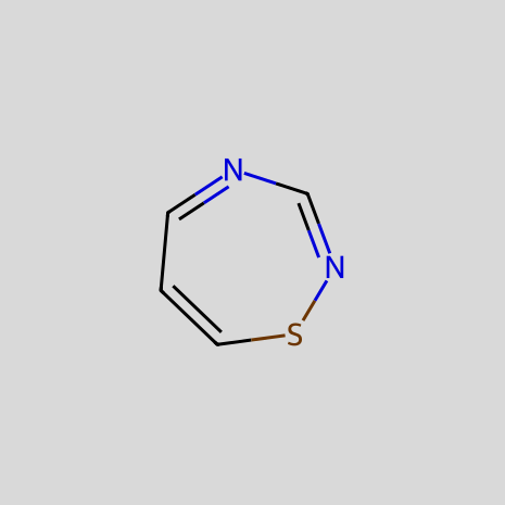 C1=CSN=CN=C1